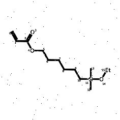 C=CC(=O)OCCCCCC[Si](C)(C)OCC